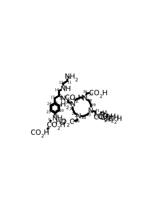 CC(=O)O.CC(=O)O.CC(=O)O.CC(=O)O.CC(=O)O.NCCNC[C@@H](N)Cc1ccc(N)cc1.O=C(O)CN1CCN(CC(=O)O)CCN(CC(=O)O)CCN(CC(=O)O)CC1